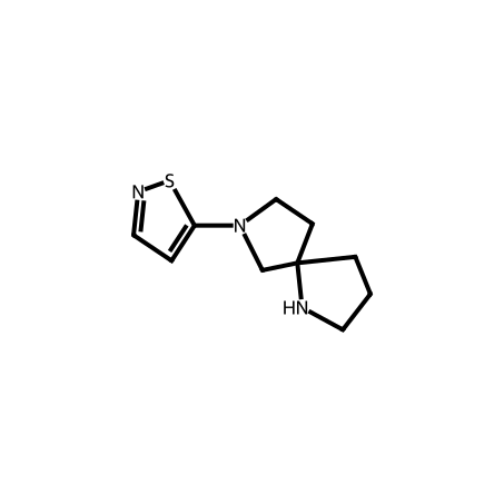 c1cc(N2CCC3(CCCN3)C2)sn1